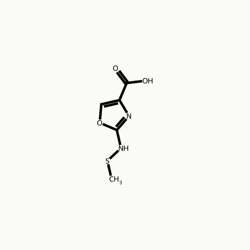 CSNc1nc(C(=O)O)co1